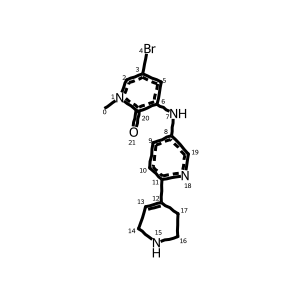 Cn1cc(Br)cc(Nc2ccc(C3=CCNCC3)nc2)c1=O